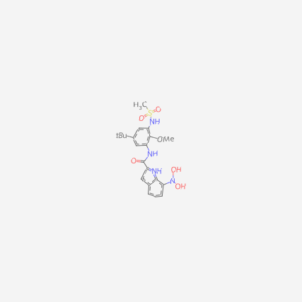 COc1c(NC(=O)c2cc3cccc(N(O)O)c3[nH]2)cc(C(C)(C)C)cc1NS(C)(=O)=O